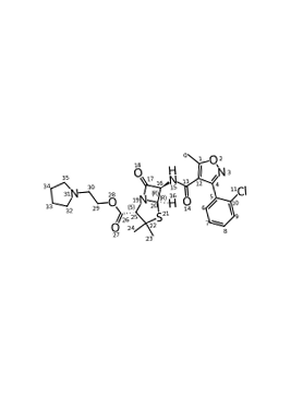 Cc1onc(-c2ccccc2Cl)c1C(=O)N[C@@H]1C(=O)N2[C@@H]1SC(C)(C)[C@@H]2C(=O)OCCN1CCCC1